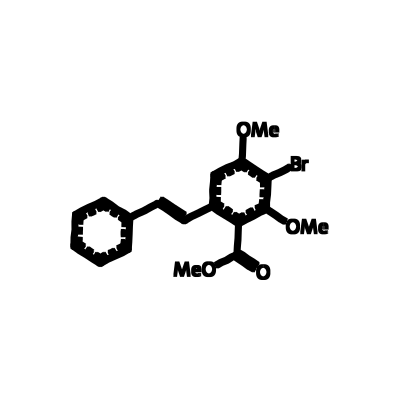 COC(=O)c1c(C=Cc2ccccc2)cc(OC)c(Br)c1OC